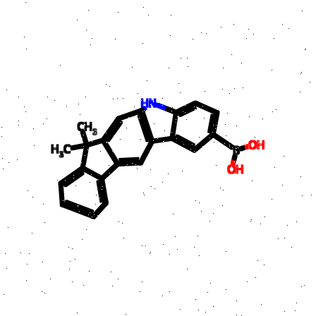 CC1(C)c2ccccc2-c2cc3c(cc21)[nH]c1ccc(B(O)O)cc13